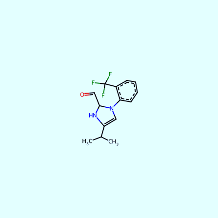 CC(C)C1=CN(c2ccccc2C(F)(F)F)C(C=O)N1